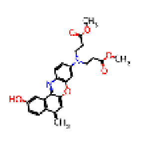 C=c1cc2c(c3cc(O)ccc13)=Nc1ccc(N(CCC(=O)OC)CCC(=O)OC)cc1O2